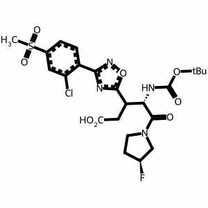 CC(C)(C)OC(=O)N[C@H](C(=O)N1CC[C@H](F)C1)C(CC(=O)O)c1nc(-c2ccc(S(C)(=O)=O)cc2Cl)no1